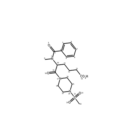 CN(C(=O)c1ccccc1)C(CCCC(=O)O)C(=O)N1CCN(S(C)(=O)=O)CC1